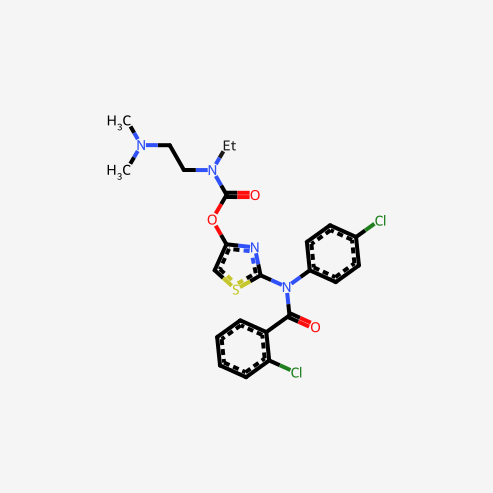 CCN(CCN(C)C)C(=O)Oc1csc(N(C(=O)c2ccccc2Cl)c2ccc(Cl)cc2)n1